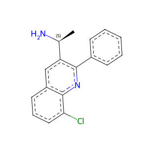 C[C@H](N)c1cc2cccc(Cl)c2nc1-c1ccccc1